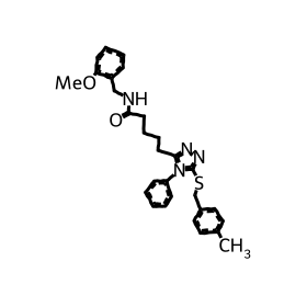 COc1ccccc1CNC(=O)CCCCc1nnc(SCc2ccc(C)cc2)n1-c1ccccc1